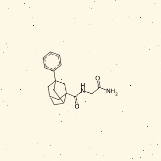 NC(=O)CNC(=O)C12CC3CC1CC(c1ccccc1)(C3)C2